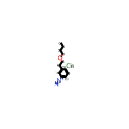 CCCCOCCc1cccc([N+]#N)c1.[Cl-]